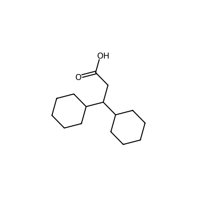 O=C(O)CC(C1CCCCC1)C1CCCCC1